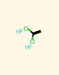 C=C(Cl)Cl.F.F